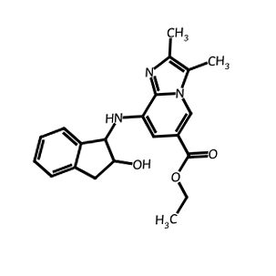 CCOC(=O)c1cc(NC2c3ccccc3CC2O)c2nc(C)c(C)n2c1